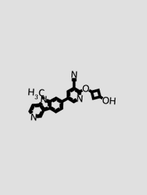 Cn1c2ccncc2c2ccc(-c3cnc(OC4CC(O)C4)c(C#N)c3)cc21